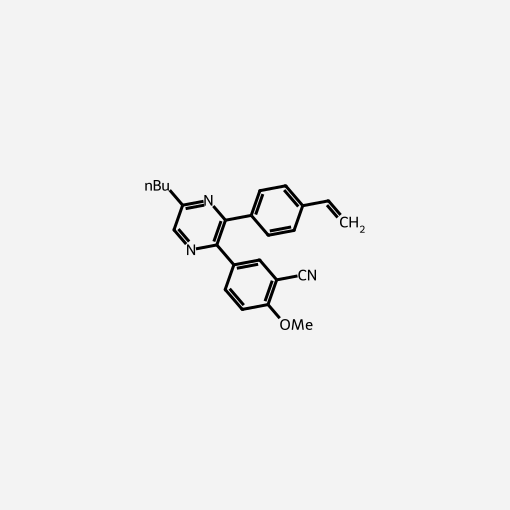 C=Cc1ccc(-c2nc(CCCC)cnc2-c2ccc(OC)c(C#N)c2)cc1